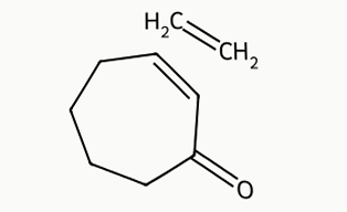 C=C.O=C1C=CCCCC1